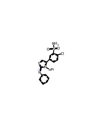 CCCn1c(-c2ccc(Cl)c(S(N)(=O)=O)c2)cs/c1=N/c1ccccc1